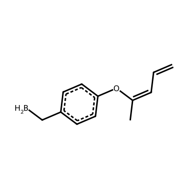 BCc1ccc(O/C(C)=C\C=C)cc1